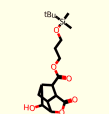 CC(C)(C)[Si](C)(C)OCCCOC(=O)C1C2CC3C(OC(=O)C31)C2O